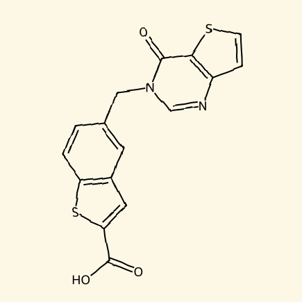 O=C(O)c1cc2cc(Cn3cnc4ccsc4c3=O)ccc2s1